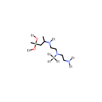 CCO[Si](C)(CC(C)N(CC)CCN(CCN(CC)CC)[Si](CC)(CC)CC)OCC